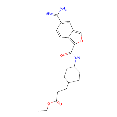 CCOC(=O)CCC1CCC(NC(=O)c2occ3cc(C(=N)N)ccc23)CC1